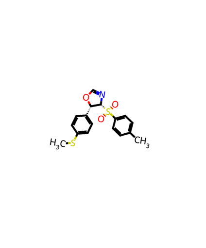 CSc1ccc([C@@H]2OC=N[C@@H]2S(=O)(=O)c2ccc(C)cc2)cc1